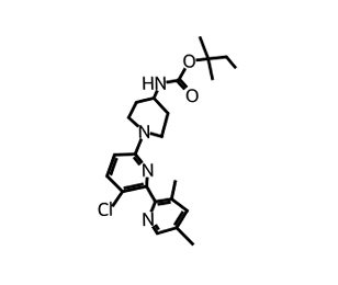 CCC(C)(C)OC(=O)NC1CCN(c2ccc(Cl)c(-c3ncc(C)cc3C)n2)CC1